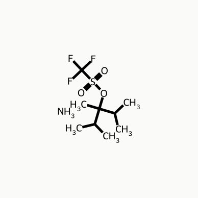 CC(C)C(C)(OS(=O)(=O)C(F)(F)F)C(C)C.N